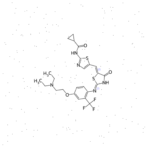 CCN(CC)CCOc1ccc(/N=C2/NC(=O)/C(=C/c3cnc(NC(=O)C4CC4)s3)S2)c(C(F)(F)F)c1